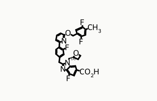 Cc1cc(F)c(COc2cccc(-c3ccc(Cc4nc5c(F)cc(C(=O)O)cc5n4C[C@@H]4CCO4)cc3F)n2)cc1F